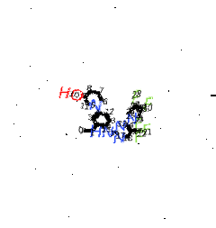 CCc1cc(N2CCCC(O)C2)ccc1Nc1ncc(C(F)(F)F)c(N2C[C@H](F)[C@@H](F)C2)n1